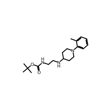 Cc1ccccc1N1CCC(NCCNC(=O)OC(C)(C)C)CC1